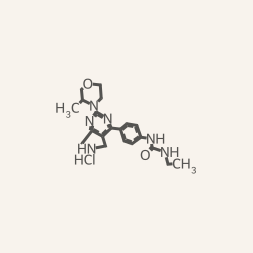 CCNC(=O)Nc1ccc(-c2nc(N3CCOCC3C)nc3c2CNC3)cc1.Cl